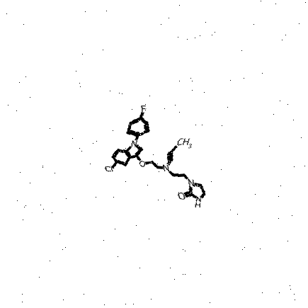 CC#CN(CCOc1cn(-c2ccc(F)cc2)c2ccc(Cl)cc12)CCN1CCNC1=O